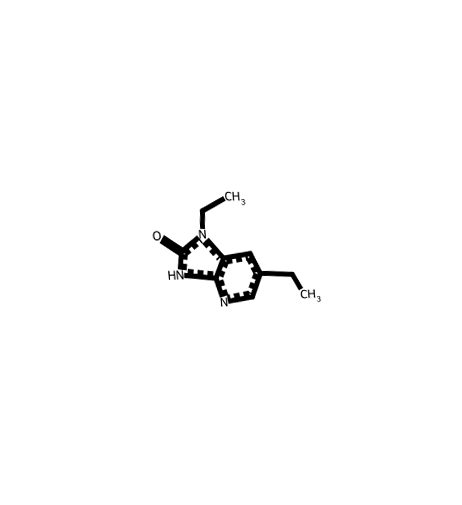 CCc1cnc2[nH]c(=O)n(CC)c2c1